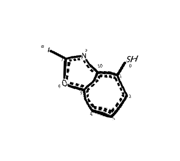 Sc1cccc2oc(I)nc12